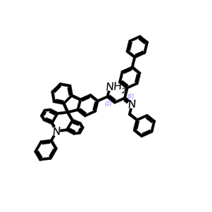 N/C(=C\C(=N/Cc1ccccc1)c1ccc(-c2ccccc2)cc1)c1ccc2c(c1)-c1ccccc1C21c2ccccc2N(c2ccccc2)c2ccccc21